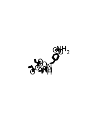 C=CC(=O)OCC(C)(COC(=O)C=C)NC(=O)NCCC1=CCC(S(N)(=O)=O)C=C1